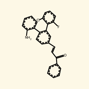 Nc1ccccc1-c1ccc(C=CC(=O)c2ccccc2)cc1-c1c(F)cccc1Cl